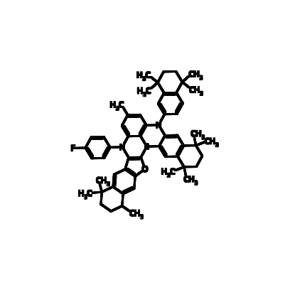 Cc1cc2c3c(c1)N(c1ccc(F)cc1)c1c(oc4cc5c(cc14)C(C)(C)CCC5C)B3c1cc3c(cc1N2c1ccc2c(c1)C(C)(C)CCC2(C)C)C(C)(C)CCC3(C)C